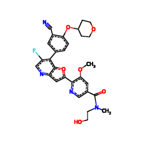 COc1cc(C(=O)N(C)CCO)cnc1-c1cc2ncc(F)c(-c3ccc(OC4CCOCC4)c(C#N)c3)c2o1